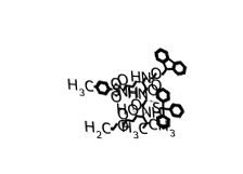 C=CCOC(=O)C[C@H](O)[C@H](NC(=O)[C@@H](CSC(c1ccccc1)(c1ccccc1)c1ccccc1)NC(=O)[C@@H](CCC(=O)NS(=O)(=O)c1ccc(C)cc1)NC(=O)OCC1c2ccccc2-c2ccccc21)C(C)C